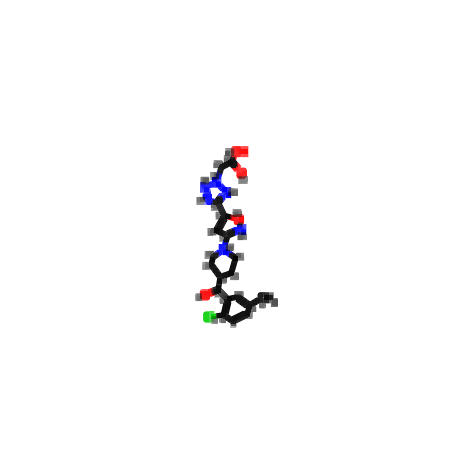 Cc1ccc(Cl)c(C(=O)C2CCN(c3cc(-c4nnn(CC(=O)O)n4)on3)CC2)c1